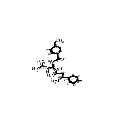 CCc1ccc(C(=O)/N=C(/NC(C)C)NC(N)CC(N)c2ccc(F)cc2)cc1